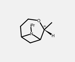 CC(C)N1C2CCO[C@H](C)C1C2